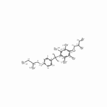 CC(C)(c1ccc(OCC(Br)CBr)cc1)c1c(Br)c(Br)c(OCC(Br)CBr)c(Br)c1Br